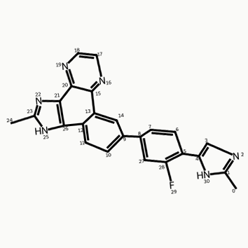 Cc1ncc(-c2ccc(-c3ccc4c(c3)c3nccnc3c3nc(C)[nH]c43)cc2F)[nH]1